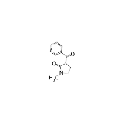 CN1CCC(C(=O)c2ccccc2)C1=O